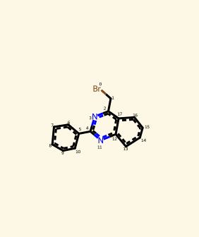 BrCc1nc(-c2ccccc2)nc2ccccc12